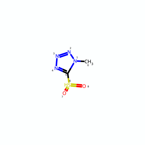 Cn1nnnc1[SH](=O)=O